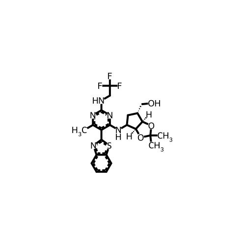 Cc1nc(NCC(F)(F)F)nc(NC2C[C@H](CO)[C@H]3OC(C)(C)O[C@@H]23)c1-c1nc2ccccc2s1